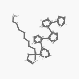 CCCCCCCCCCCCCCCCCCC1(c2sccc2-c2sccc2-c2sccc2-c2sccc2-c2cccs2)CC=CS1